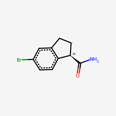 NC(=O)[C@@H]1[CH]Cc2cc(Br)ccc21